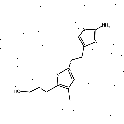 Cc1cc(CCc2csc(N)n2)sc1CCCO